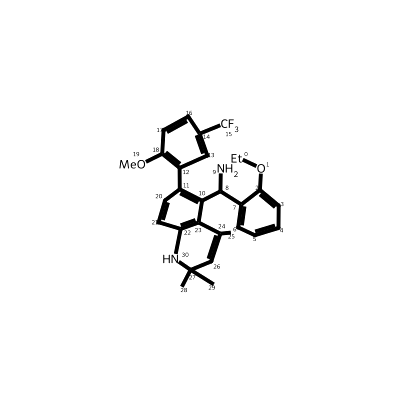 CCOc1ccccc1C(N)c1c(-c2cc(C(F)(F)F)ccc2OC)ccc2c1C(C)=CC(C)(C)N2